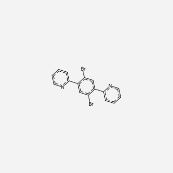 Brc1cc(-c2ccccn2)c(Br)cc1-c1ccccn1